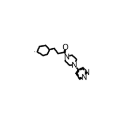 O=C(CCC1CC[CH]CC1)N1CCN(c2ccnnc2)CC1